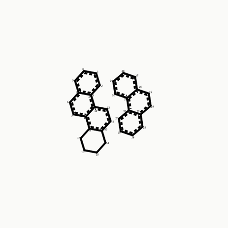 c1ccc2c(c1)ccc1c3c(ccc12)CCCC3.c1ccc2c(c1)ccc1ccccc12